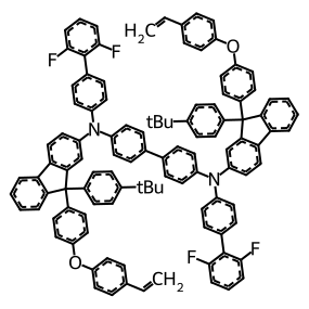 C=Cc1ccc(Oc2ccc(C3(c4ccc(C(C)(C)C)cc4)c4ccccc4-c4ccc(N(c5ccc(-c6ccc(N(c7ccc(-c8c(F)cccc8F)cc7)c7ccc8c(c7)C(c7ccc(Oc9ccc(C=C)cc9)cc7)(c7ccc(C(C)(C)C)cc7)c7ccccc7-8)cc6)cc5)c5ccc(-c6c(F)cccc6F)cc5)cc43)cc2)cc1